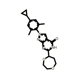 Cc1cc(C2CC2)cc(C)c1-n1cc2c(=O)[nH]c(C3CCOCCO3)nc2n1